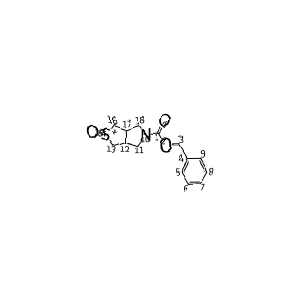 O=C(OCc1ccccc1)N1CC2C[S+]([O-])CC2C1